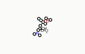 CC1(C)c2cc(-c3c4ccccc4c(-c4cccc5c4oc4ccccc45)c4cc5ccccc5cc34)ccc2-c2ccc(N(c3ccccc3)c3ccccc3)cc21